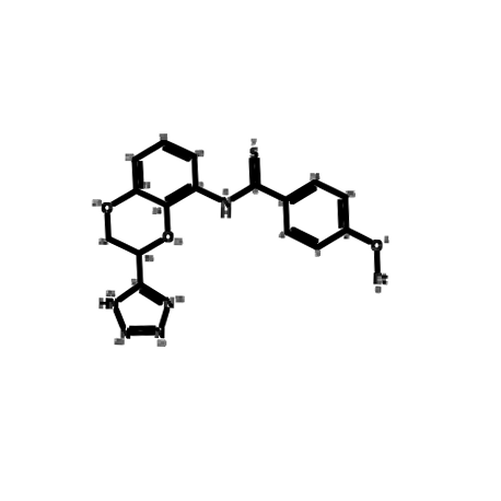 CCOc1ccc(C(=S)Nc2cccc3c2OC(c2nnn[nH]2)CO3)cc1